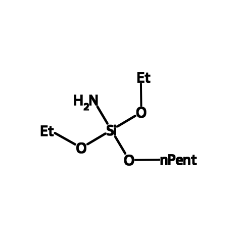 CCCCCO[Si](N)(OCC)OCC